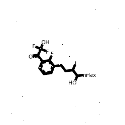 CCCCCCC(O)C(I)CCc1cccc(C(=O)C(O)(F)F)c1F